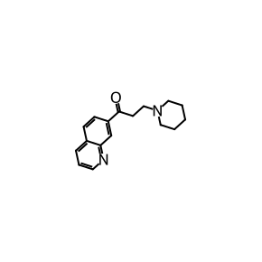 O=C(CCN1CCCCC1)c1ccc2cccnc2c1